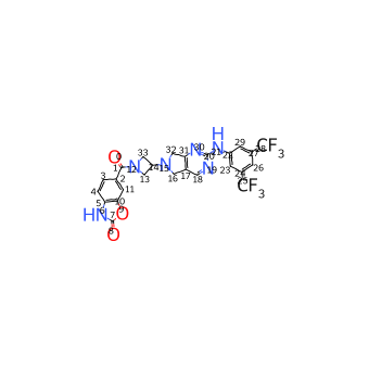 O=C(c1ccc2[nH]c(=O)oc2c1)N1CC(N2Cc3cnc(Nc4cc(C(F)(F)F)cc(C(F)(F)F)c4)nc3C2)C1